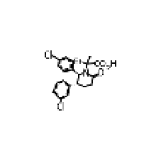 CCC(C)(C(=O)O)N1C(=O)CC[C@H](c2cccc(Cl)c2)[C@H]1c1ccc(Cl)cc1